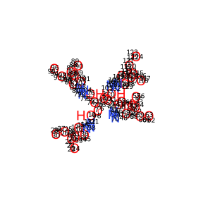 OC(COCC(COCC(O)Cn1cc(COCC(COCC2CO2)(COCC2CO2)COCC2CO2)nn1)(COCC(O)Cn1cc(COCC(COCC2CO2)(COCC2CO2)COCC2CO2)nn1)COCC(O)Cn1cc(COCC(COCC2CO2)(COCC2CO2)COCC2CO2)nn1)Cn1cc(COCC(COCC2CO2)(COCC2CO2)COCC2CO2)nn1